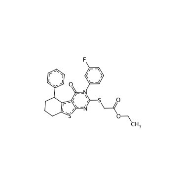 CCOC(=O)CSc1nc2sc3c(c2c(=O)n1-c1cccc(F)c1)C(c1ccccc1)CCC3